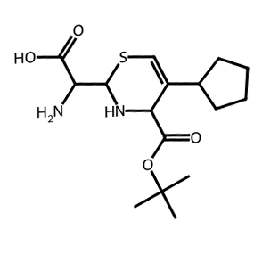 CC(C)(C)OC(=O)C1NC(C(N)C(=O)O)SC=C1C1CCCC1